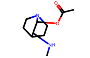 CNC1C2CCN(CC2)C1OC(C)=O